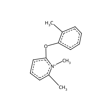 Cc1ccccc1Oc1cccc(C)[n+]1C